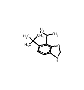 CC(C)c1c(C(C)(C)C)ccc2c1OCN2